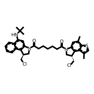 Cc1cc2c(c3c(C)csc13)[C@H](CCl)CN2C(=O)CCCCCC(=O)N1C[C@@H](CCl)c2c1cc(NC(C)(C)C)c1ccccc21